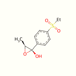 CCS(=O)(=O)c1ccc([C@]2(O)O[C@H]2C)cc1